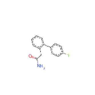 NC(=O)Cc1ccccc1-c1ccc(F)cc1